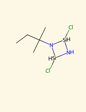 CCC(C)(C)N1[SiH](Cl)N[SiH]1Cl